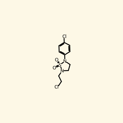 O=S1(=O)N(CCCl)CCN1c1ccc(Cl)cc1